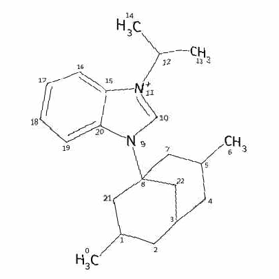 CC1CC2CC(C)CC(n3c[n+](C(C)C)c4ccccc43)(C1)C2